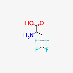 NC(CC(F)(F)C(F)F)C(=O)O